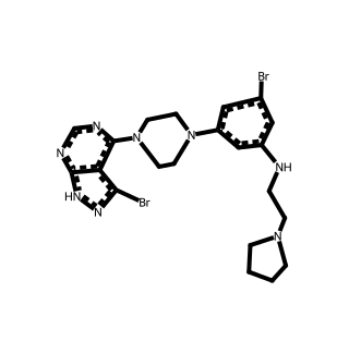 Brc1cc(NCCN2CCCC2)cc(N2CCN(c3ncnc4[nH]nc(Br)c34)CC2)c1